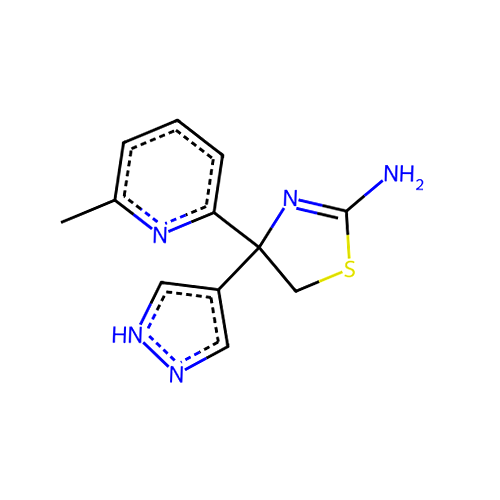 Cc1cccc(C2(c3cn[nH]c3)CSC(N)=N2)n1